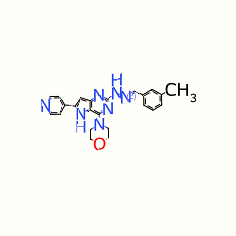 Cc1cccc(/C=N/Nc2nc(N3CCOCC3)c3[nH]c(-c4ccncc4)cc3n2)c1